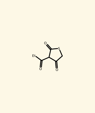 CCC(=O)C1C(=O)CSC1=O